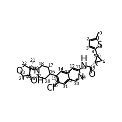 Cc1ccc([C@H]2C[C@@H]2C(=O)Nc2cc3cc(C4CCN([C@]5(C)COC[C@@H]5O)CC4)c(Cl)cc3cn2)s1